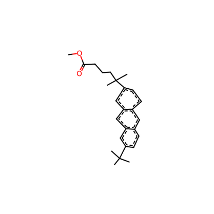 COC(=O)CCCC(C)(C)c1ccc2cc3ccc(C(C)(C)C)cc3cc2c1